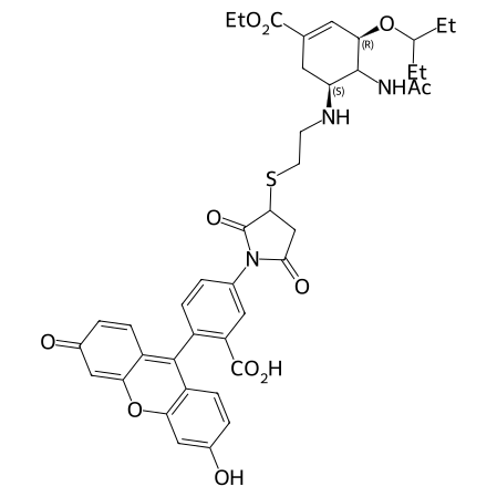 CCOC(=O)C1=C[C@@H](OC(CC)CC)C(NC(C)=O)[C@@H](NCCSC2CC(=O)N(c3ccc(-c4c5ccc(=O)cc-5oc5cc(O)ccc45)c(C(=O)O)c3)C2=O)C1